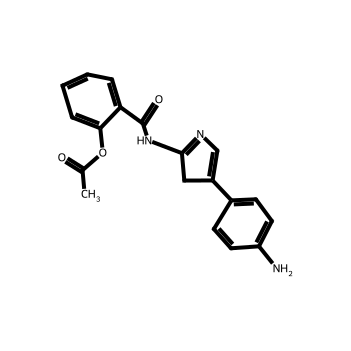 CC(=O)Oc1ccccc1C(=O)NC1=NC=C(c2ccc(N)cc2)C1